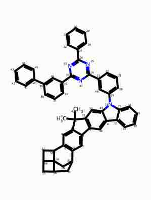 CC1(C)c2cc3c(cc2-c2cc4c5ccccc5n(-c5cccc(-c6nc(-c7ccccc7)nc(-c7cccc(-c8ccccc8)c7)n6)c5)c4cc21)C1CC2CC4CC3C24C1